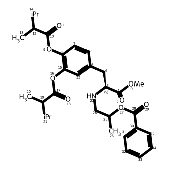 COC(=O)[C@H](Cc1ccc(OC(=O)C(C)C(C)C)c(OC(=O)C(C)C(C)C)c1)NCC(C)OC(=O)c1ccccc1